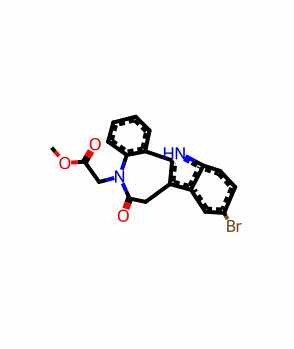 COC(=O)CN1C(=O)Cc2c([nH]c3ccc(Br)cc23)-c2ccccc21